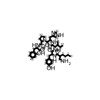 CCCCC(CN)C(=O)NC(Cc1ccc(O)cc1)C(=O)NC(C(=O)NC(Cc1c[nH]cn1)C(=O)N1CCCC1C(=O)NC(Cc1ccccc1)C(=O)O)C(C)CC